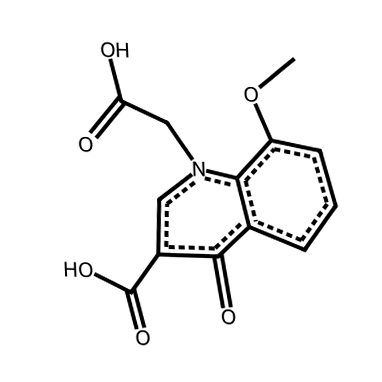 COc1cccc2c(=O)c(C(=O)O)cn(CC(=O)O)c12